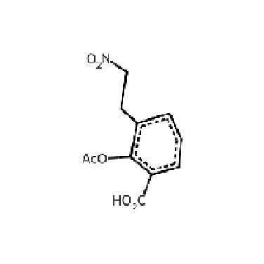 CC(=O)Oc1c(CC[N+](=O)[O-])cccc1C(=O)O